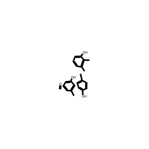 C=O.Cc1ccc(O)cc1.Cc1cccc(O)c1.Cc1cccc(O)c1C